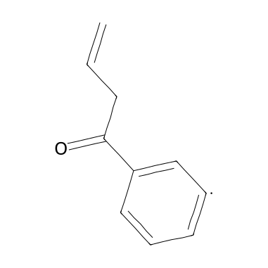 C=CCC(=O)c1c[c]ccc1